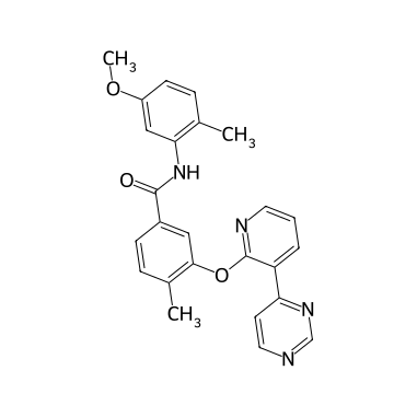 COc1ccc(C)c(NC(=O)c2ccc(C)c(Oc3ncccc3-c3ccncn3)c2)c1